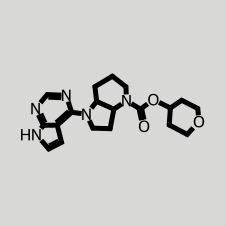 O=C(OC1CCOCC1)N1CCCC2C1CCN2c1ncnc2[nH]ccc12